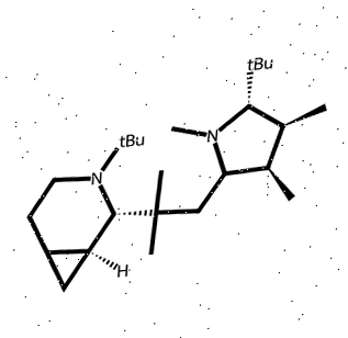 C[C@@H]1[C@@H](C(C)(C)C)N(C)C(CC(C)(C)[C@@H]2[C@H]3CC3CCN2C(C)(C)C)[C@@H]1C